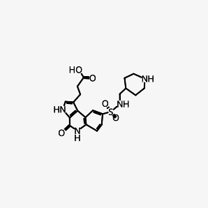 O=C(O)CCc1c[nH]c2c(=O)[nH]c3ccc(S(=O)(=O)NCC4CCNCC4)cc3c12